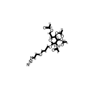 CC(=O)NC1C(OCCCOCCN=[N+]=[N-])OC(COC(C)=O)C(OC(C)=O)C1OC(C)=O